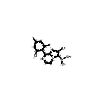 CCCN(CCC)c1c(CC)nc2c(-c3c(C)cc(C)cc3Cl)nccn12